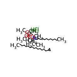 CCC.CCCCCCCCCCC=C[N+](C)(C)OCC(C)[Si](OCC)(OCC)OCC.CCCCCCCCCCCCCCCC1CC1.Cl.Cl